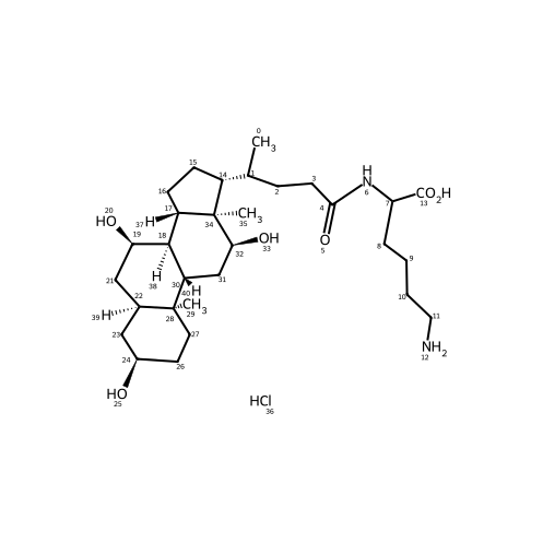 CC(CCC(=O)NC(CCCCN)C(=O)O)[C@H]1CC[C@H]2[C@@H]3[C@H](O)C[C@@H]4C[C@H](O)CC[C@]4(C)[C@H]3C[C@H](O)[C@]12C.Cl